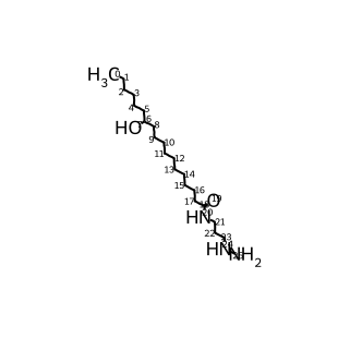 CCCCCCC(O)CCCCCCCCCCC(=O)NCCCNN